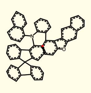 c1ccc(N(c2cccc3c2-c2ccccc2C32c3ccccc3-c3ccccc32)c2cccc3ccccc23)c(-c2cccc3oc4cc5ccccc5cc4c23)c1